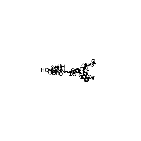 CCN(CCCCNC(=O)NC[C@H](O)[C@@H](O)[C@H](O)[C@H](O)CO)S(=O)(=O)c1ccc(Cl)c(COC2(c3c[n+](COC(=O)N(C)CCOC(C)=O)ccc3-c3ccccc3OC3CC3)CC2)c1